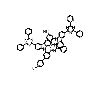 N#Cc1ccc(-c2ccc(-c3nc(-c4ccccc4)nc(-c4ccc(C#N)cc4-n4c5ccccc5c5cc(-c6nc(-c7ccccc7)nc(-c7ccccc7)n6)ccc54)n3)c(-n3c4ccccc4c4cc(-c5nc(-c6ccccc6)nc(-c6ccccc6)n5)ccc43)c2)cc1